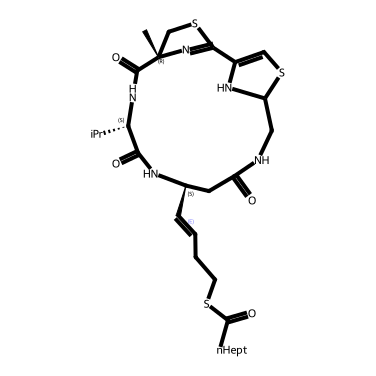 CCCCCCCC(=O)SCC/C=C/[C@@H]1CC(=O)NCC2NC(=CS2)C2=N[C@@](C)(CS2)C(=O)N[C@@H](C(C)C)C(=O)N1